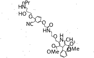 CCCNCC(O)COc1ccc(OCC(=O)NCCOCC2=C(C(=O)OC)C(c3ccccc3Cl)C(C(=O)OC)=C(C)N2)cc1C#N